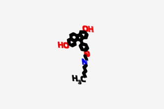 CCCCCCN=CCOc1ccc(C2C3=C(CCc4cc(O)ccc43)c3cc(O)ccc32)cc1